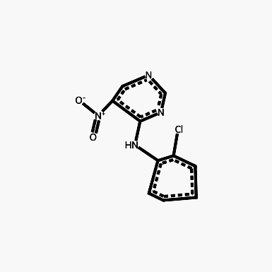 O=[N+]([O-])c1cncnc1Nc1ccccc1Cl